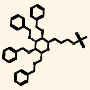 CS(=O)(=O)OCCC[C@H]1O[C@H](COCc2ccccc2)[C@@H](OCc2ccccc2)[C@H](OCc2ccccc2)[C@H]1OCc1ccccc1